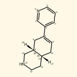 C1=C(c2cccnc2)C[C@H]2CNCC[C@H]2C1